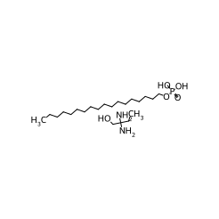 CCC(N)(N)CO.CCCCCCCCCCCCCCCCCCOP(=O)(O)O